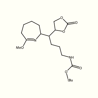 COC1=NC(C(CCCNC(=O)OC(C)(C)C)C2COC(=O)O2)CCCC1